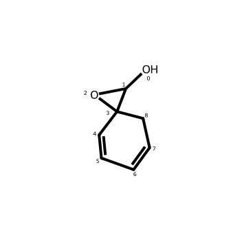 OC1OC12C=CC=CC2